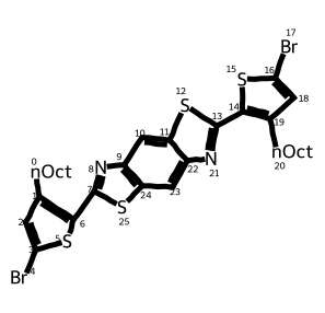 CCCCCCCCc1cc(Br)sc1-c1nc2cc3sc(-c4sc(Br)cc4CCCCCCCC)nc3cc2s1